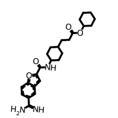 N=C(N)c1ccc2oc(C(=O)NC3CCC(CCC(=O)OC4CCCCC4)CC3)cc2c1